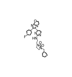 O=S1(=O)N(CCNc2nccc(-c3c(-c4ccc(F)cc4)nc4occn34)n2)CCN1Cc1ccccc1